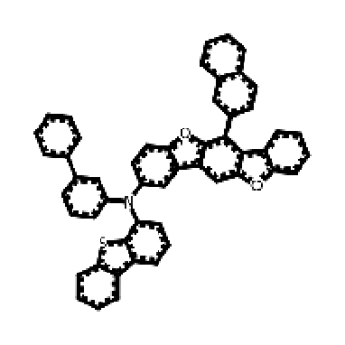 c1ccc(-c2cccc(N(c3ccc4oc5c(-c6ccc7ccccc7c6)c6c(cc5c4c3)oc3ccccc36)c3cccc4c3sc3ccccc34)c2)cc1